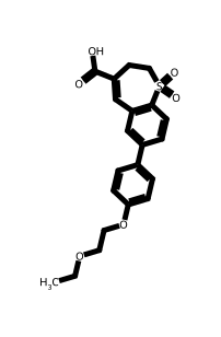 CCOCCOc1ccc(-c2ccc3c(c2)C=C(C(=O)O)CCS3(=O)=O)cc1